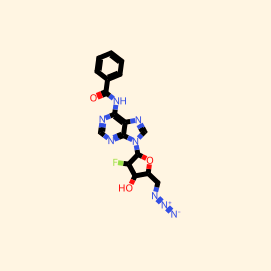 [N-]=[N+]=NCC1OC(n2cnc3c(NC(=O)c4ccccc4)ncnc32)C(F)C1O